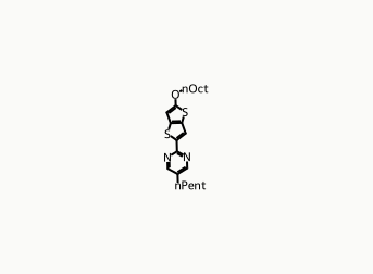 CCCCCCCCOc1cc2sc(-c3ncc(CCCCC)cn3)cc2s1